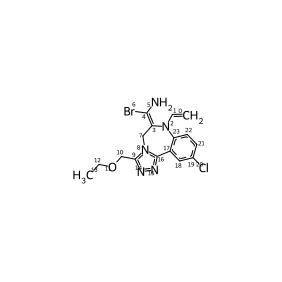 C=CN1/C(=C(\N)Br)Cn2c(COCC)nnc2-c2cc(Cl)ccc21